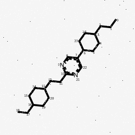 CCCC1CCC(c2cnc(CCC3CCC(CC)CC3)nc2)CC1